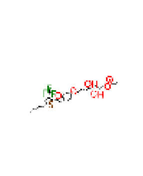 C=CC(=O)OCCCC(O)C(O)CCCOc1ccc2cc(-c3sc(CCCCC)cc3C(F)(F)F)oc2c1